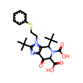 CC(C)(C)c1nc2c(n1CCSc1ccccc1)C(C(C)(C)C)N(C(=O)O)C(C(=O)O)C2=O